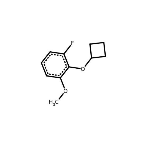 COc1cc[c]c(F)c1OC1CCC1